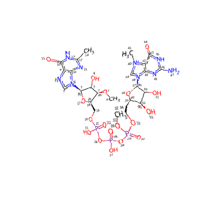 CO[C@@H]1C(O)[C@H](n2cnc3c(=O)[nH]c(C)nc32)O[C@@H]1COP(=O)(O)OP(=O)(O)OP(=O)(OC)OC[C@H]1O[C@@H](n2c[n+](C)c3c(=O)[nH]c(N)nc32)C(O)[C@H]1O